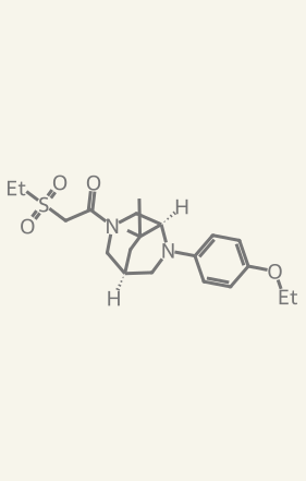 [CH2]CS(=O)(=O)CC(=O)N1C[C@@H]2CN(c3ccc(OCC)cc3)[C@H](C1)C(C)(C)C2